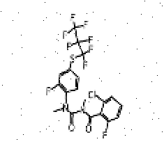 CN(C(=O)c1c(F)cccc1Cl)C(=O)N(C)c1ccc(SC(F)(F)C(F)(F)C(F)(F)F)cc1F